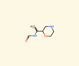 C=C(N[C]=O)C1CNCCO1